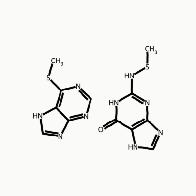 CSNc1nc2nc[nH]c2c(=O)[nH]1.CSc1ncnc2nc[nH]c12